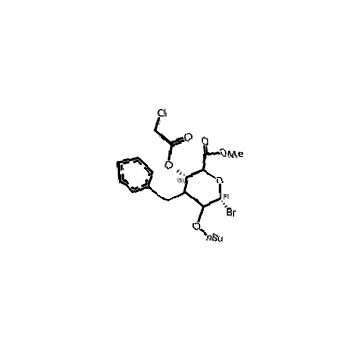 CCCCOC1C(Cc2ccccc2)[C@H](OC(=O)CCl)C(C(=O)OC)O[C@@H]1Br